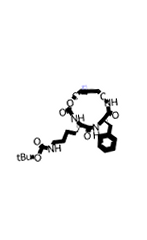 CC(C)(C)OC(=O)NCCCC[C@@H]1NC(=O)OC/C=C/CCNC(=O)[C@@H](Cc2ccccc2)NC1=O